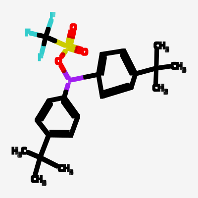 CC(C)(C)c1ccc(I(OS(=O)(=O)C(F)(F)F)c2ccc(C(C)(C)C)cc2)cc1